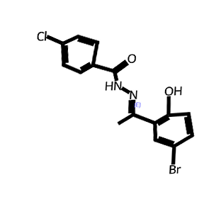 C/C(=N\NC(=O)c1ccc(Cl)cc1)c1cc(Br)ccc1O